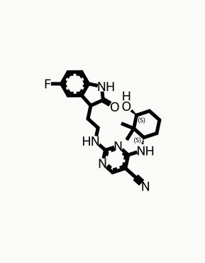 CC1(C)[C@@H](Nc2nc(NCCC3C(=O)Nc4ccc(F)cc43)ncc2C#N)CCC[C@@H]1O